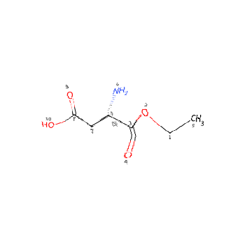 CCOC(=O)[C@@H](N)CC(=O)O